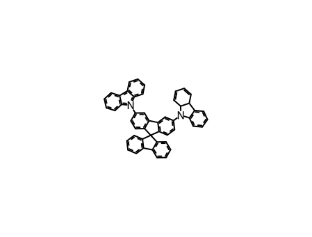 C1=CC2c3ccccc3N(c3ccc4c(c3)-c3cc(-n5c6ccccc6c6ccccc65)ccc3C43c4ccccc4-c4ccccc43)C2C=C1